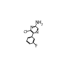 Nc1cnc(-c2cccc(F)c2)c(Cl)n1